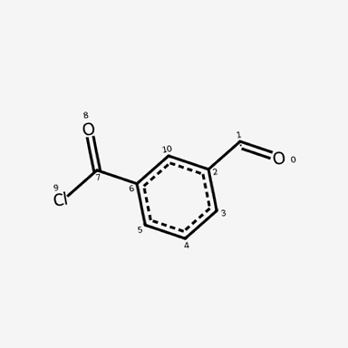 O=[C]c1cccc(C(=O)Cl)c1